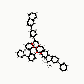 CC1(C)c2cc(-c3ccccc3)ccc2-c2ccc(N(c3ccc(-c4ccc(-c5ccc6ccccc6c5)cc4)cc3)c3cccc(-c4ccccc4)c3-c3ccccc3-c3ccccc3)cc21